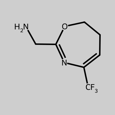 NCC1=NC(C(F)(F)F)=CCCO1